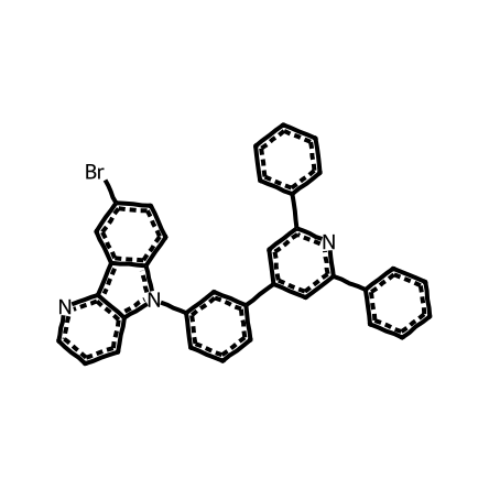 Brc1ccc2c(c1)c1ncccc1n2-c1cccc(-c2cc(-c3ccccc3)nc(-c3ccccc3)c2)c1